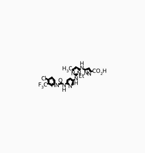 CCn1nc(C(=O)O)cc1Nc1cc(C)nc(Nc2ccc(NC(=O)Nc3ccc(Cl)c(C(F)(F)F)c3)nc2)n1